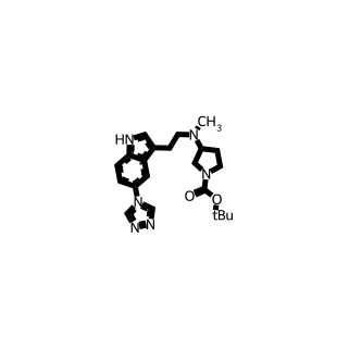 CN(CCc1c[nH]c2ccc(-n3cnnc3)cc12)C1CCN(C(=O)OC(C)(C)C)C1